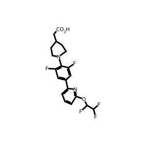 O=C(O)CC1CCN(c2c(F)cc(-c3cccc(OC(F)C(F)F)n3)cc2F)CC1